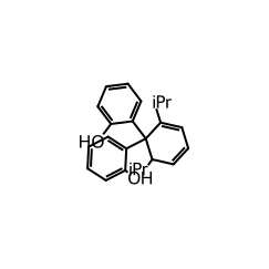 CC(C)C1=CC=CC(C(C)C)C1(c1ccccc1O)c1ccccc1O